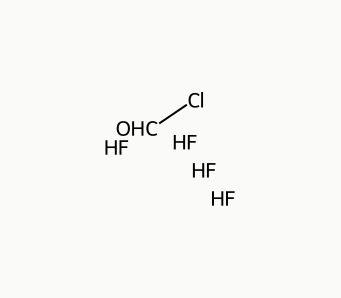 F.F.F.F.O=CCl